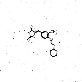 O=C1NC(=O)/C(=C/c2ccc(OCCC3CCCCC3)c(C(F)(F)F)c2)S1